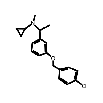 CC(c1cccc(OCc2ccc(Cl)cc2)c1)N(C)C1CC1